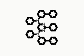 c1ccc(-c2cccc(N(c3ccccc3)c3cc(N(c4ccccc4)c4cccc(-c5ccccc5)c4)nc(-c4ccccc4)n3)c2)cc1